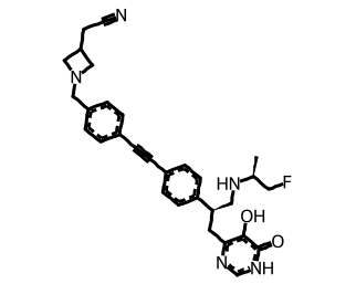 C[C@@H](CF)NC[C@@H](Cc1nc[nH]c(=O)c1O)c1ccc(C#Cc2ccc(CN3CC(CC#N)C3)cc2)cc1